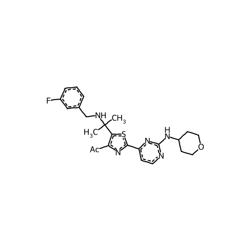 CC(=O)c1nc(-c2ccnc(NC3CCOCC3)n2)sc1C(C)(C)NCc1cccc(F)c1